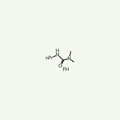 CCCNC(=O)N(C)C.F